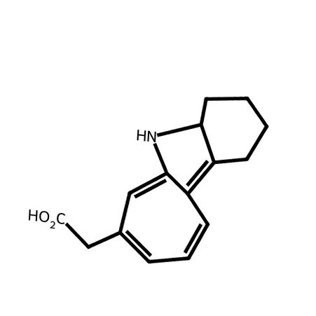 O=C(O)CC1=CC=CC2=C3CCCCC3NC2=C1